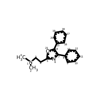 CN(C)CCc1nc(-c2ccccc2)c(-c2ccccc2)o1